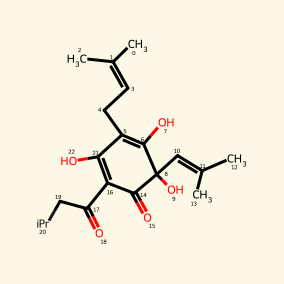 CC(C)=CCC1=C(O)C(O)(C=C(C)C)C(=O)C(C(=O)CC(C)C)=C1O